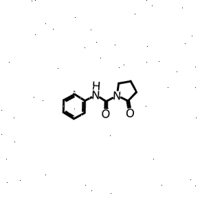 O=C1CCCN1C(=O)Nc1[c]cccc1